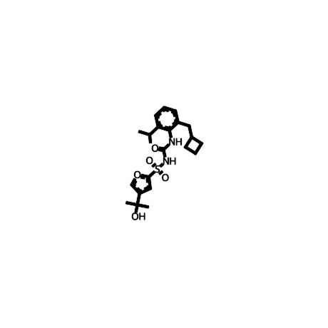 CC(C)c1cccc(CC2CCC2)c1NC(=O)NS(=O)(=O)c1cc(C(C)(C)O)co1